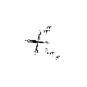 O=P(Cl)(Cl)Cl.[Cl-].[Cl-].[Cl-].[Cl-].[Zr+4]